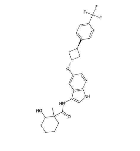 CC1(C(=O)Nc2c[nH]c3ccc(O[C@H]4C[C@H](c5ccc(C(F)(F)F)cc5)C4)cc23)CCCCC1O